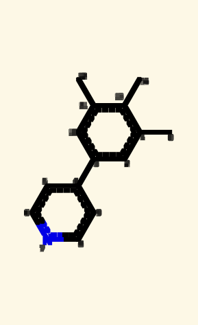 Cc1cc(-c2ccncc2)cc(C)c1C